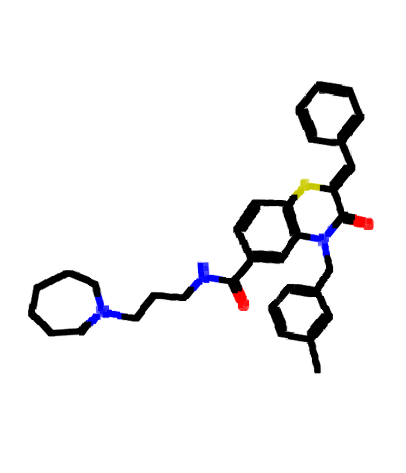 Cc1cccc(CN2C(=O)/C(=C/c3ccccc3)Sc3ccc(C(=O)NCCCN4CCCCCC4)cc32)c1